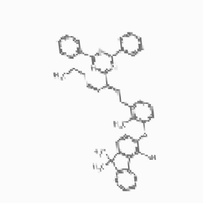 CCC/C=C\C(=C/Cc1cccc(Sc2ccc3c(c2S)-c2ccccc2C3(C)C)c1C)c1nc(-c2ccccc2)nc(-c2ccccc2)n1